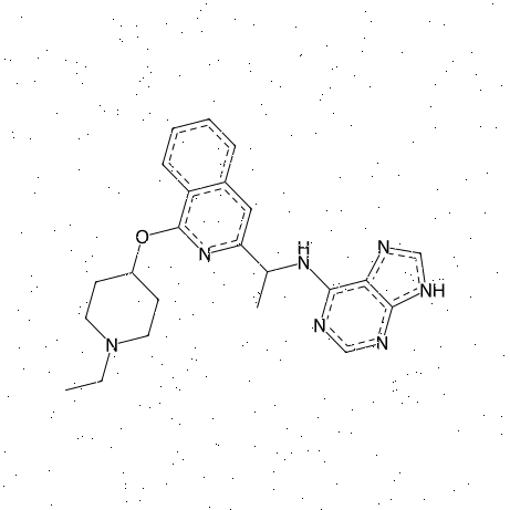 CCN1CCC(Oc2nc(C(C)Nc3ncnc4[nH]cnc34)cc3ccccc23)CC1